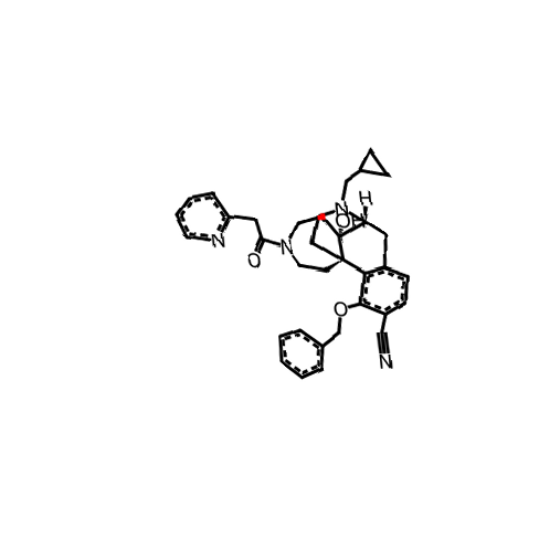 N#Cc1ccc2c(c1OCc1ccccc1)[C@@]13CCN(C(=O)Cc4ccccn4)CC[C@@]1(O)[C@@H](C2)N(CC1CC1)CC3